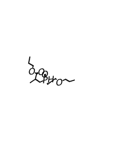 CCCOCC[PH](=O)CC(C)C(=O)OCCC